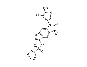 CC(C)COc1ncc(N2C(=O)C3(CC3)c3cc4c(NS(=O)(=O)c5ccccc5)noc4cc32)cc1Cl